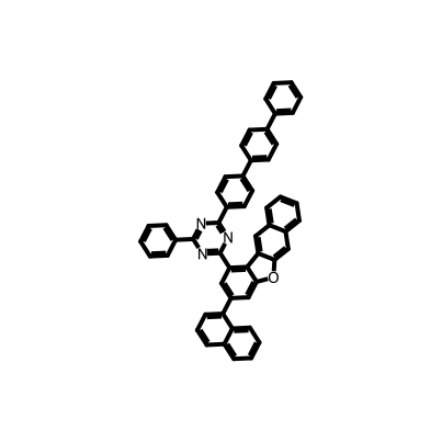 c1ccc(-c2ccc(-c3ccc(-c4nc(-c5ccccc5)nc(-c5cc(-c6cccc7ccccc67)cc6oc7cc8ccccc8cc7c56)n4)cc3)cc2)cc1